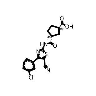 N#Cc1sc(NC(=O)[C@@H]2CC[C@@H](C(=O)O)C2)nc1-c1cccc(Cl)c1